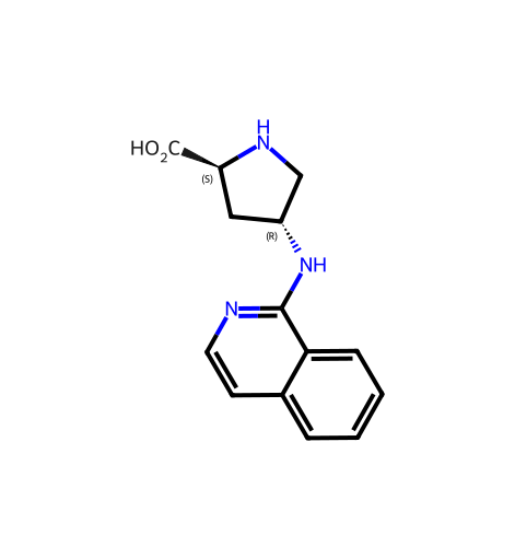 O=C(O)[C@@H]1C[C@@H](Nc2nccc3ccccc23)CN1